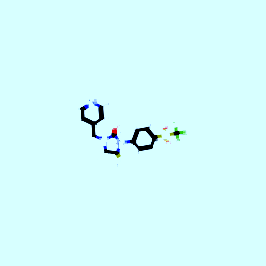 C[C@H]1C(=S)N(c2ccc(S(=O)(=O)C(F)(F)F)cc2)C(=O)N1Cc1ccncc1